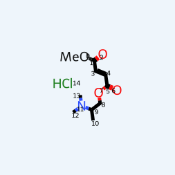 COC(=O)C=CC(=O)OCC(C)N(C)C.Cl